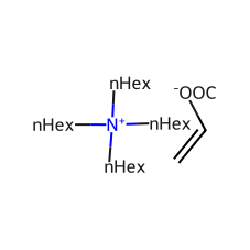 C=CC(=O)[O-].CCCCCC[N+](CCCCCC)(CCCCCC)CCCCCC